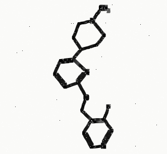 CN1CCC(c2cccc(OCc3ccncc3F)n2)CC1